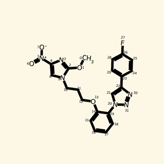 COc1nc([N+](=O)[O-])cn1CCCOc1ccccc1-n1cc(-c2ccc(F)cc2)nn1